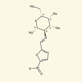 O=[N+]([O-])c1ccc(/C=N/[C@@H]2[C@@H](O)[C@@H](O)[C@@H](CO)O[C@H]2O)o1